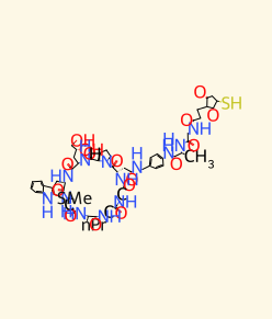 CCCC1NC(=O)CNC(=O)[C@@H](Cc2c(SC)[nH]c3ccccc23)NC(=O)C(C[C@@H](O)CO)NC(=O)[C@@H]2CCCN2C(=O)[C@H](CC(=O)NCc2ccc(NC(=O)[C@H](C)NC(=O)CNC(=O)CCC3C(=O)CC(S)C3=O)cc2)NC(=O)CNC(=O)CNC1=O